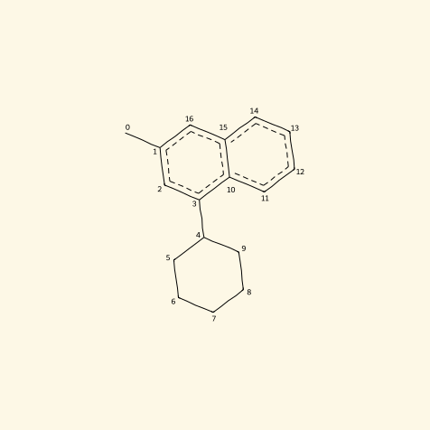 Cc1cc(C2CCCCC2)c2ccccc2c1